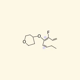 C=C/C(F)=C(\C=C/CC)OC1CCOCC1